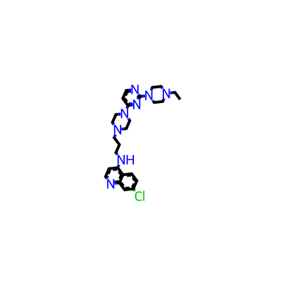 CCN1CCN(c2nccc(N3CCN(CCCNc4ccnc5cc(Cl)ccc45)CC3)n2)CC1